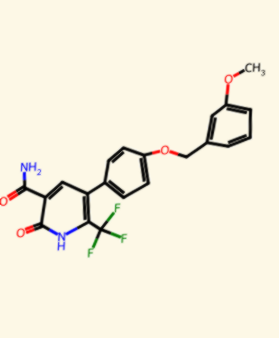 COc1cccc(COc2ccc(-c3cc(C(N)=O)c(=O)[nH]c3C(F)(F)F)cc2)c1